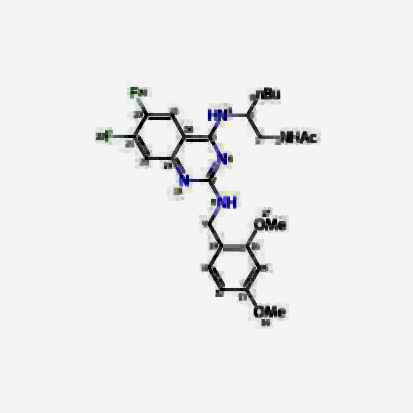 CCCCC(CNC(C)=O)Nc1nc(NCc2ccc(OC)cc2OC)nc2cc(F)c(F)cc12